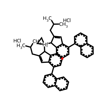 CC(C)CC1=Cc2c(-c3cccc4ccccc34)cccc2[CH]1[Hf]1([CH]2C(CC(C)C)=Cc3c(-c4cccc5ccccc45)cccc32)[CH2][CH2]1.Cl.Cl